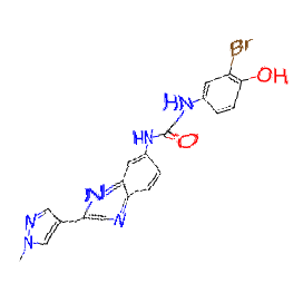 Cn1cc(-c2cnc3ccc(NC(=O)Nc4ccc(O)c(Br)c4)cc3n2)cn1